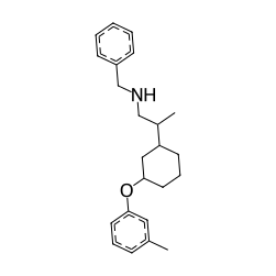 Cc1cccc(OC2CCCC(C(C)CNCc3ccccc3)C2)c1